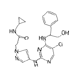 O=C(Cn1cc(Nc2ncc(Cl)c(NC(CO)c3ccccc3)n2)cn1)NC1CC1